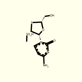 CS(=O)(=O)O.Nc1ccn([C@@H]2CS[C@H](CO)O2)c(=O)n1